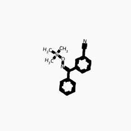 C[Si](C)(C)ON=C(c1ccccc1)c1cccc(C#N)c1